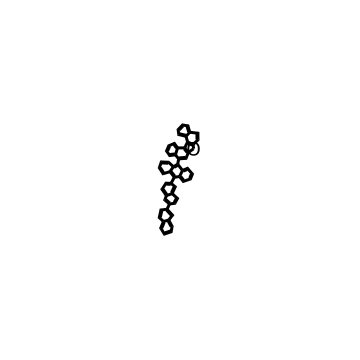 c1ccc2cc(-c3ccc4cc(-c5c6ccccc6c(-c6cc7oc8ccc9ccccc9c8c7c7ccccc67)c6ccccc56)ccc4c3)ccc2c1